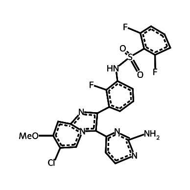 COc1cc2nc(-c3cccc(NS(=O)(=O)c4c(F)cccc4F)c3F)c(-c3ccnc(N)n3)n2cc1Cl